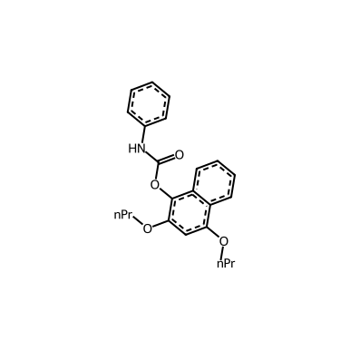 CCCOc1cc(OCCC)c2ccccc2c1OC(=O)Nc1ccccc1